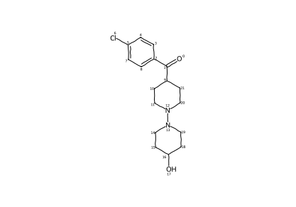 O=C(c1ccc(Cl)cc1)C1CCN(N2CCC(O)CC2)CC1